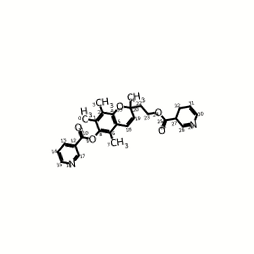 Cc1c(C)c2c(c(C)c1OC(=O)c1cccnc1)C=CC(C)(CCOC(=O)C1C=NC=CC1)O2